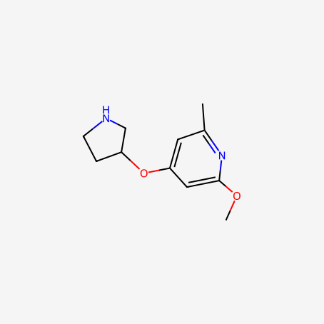 COc1cc(OC2CCNC2)cc(C)n1